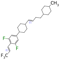 CC1CCC(CC/C=C/C2CCC(c3cc(F)c(/C=C/C(F)(F)F)c(F)c3)CC2)CC1